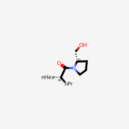 CCCCCC[C@@H](CCC)C(=O)N1CCC[C@H]1CO